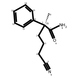 C[C@@](CC[CH]C#N)(C(N)=O)c1ccccc1